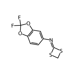 FC1(F)Oc2ccc(N=C3SCS3)cc2O1